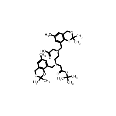 Cc1cc2c(c(CN(CCN(CC(=O)OC(C)(C)C)Cc3cc(C)cc4c3OC(C)(C)OC4)CC(=O)O)c1)OC(C)(C)OC2